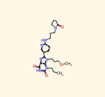 CCCn1c(=O)[nH]c(=O)c2nc(-c3ccc(NCCCN4CCCC4=O)nc3)n(CCCOC)c21